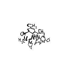 Cc1cc([C@@H](C)Nc2ccc(Cl)nc2C(F)(F)F)c2nc(N3CC4CC4C3)n(C)c(=O)c2c1